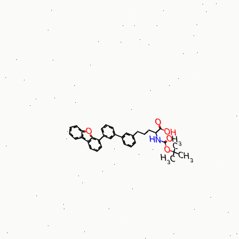 CC(C)(C)OC(=O)NC(CCCc1cccc(-c2cccc(-c3cccc4c3oc3ccccc34)c2)c1)C(=O)O